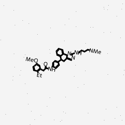 CCc1ccc(OC)cc1CC(=O)Nc1ccc(C2Cc3cnc(NCCCCNC)nc3-c3ccccc32)cc1